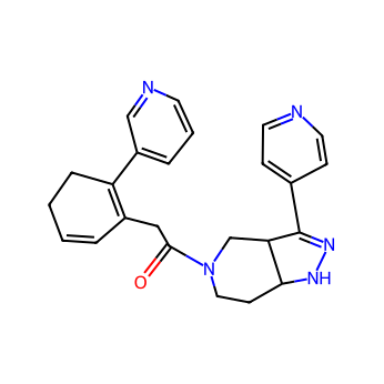 O=C(CC1=C(c2cccnc2)CCC=C1)N1CCC2NN=C(c3ccncc3)C2C1